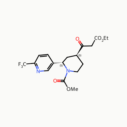 CCOC(=O)CC(=O)[C@H]1CCN(C(=O)OC)[C@H](c2ccc(C(F)(F)F)nc2)C1